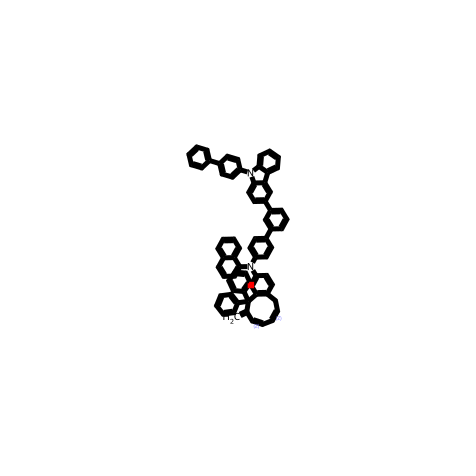 C=C1/C=C\C=C/Cc2ccc(N(c3ccc(-c4cccc(-c5ccc6c(c5)c5ccccc5n6-c5ccc(-c6ccccc6)cc5)c4)cc3)c3cccc4ccccc34)cc2C1(c1ccccc1)c1ccccc1